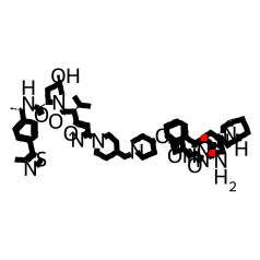 Cc1ncsc1-c1ccc([C@H](C)NC(=O)[C@@H]2C[C@@H](O)CN2C(=O)[C@@H](c2cc(N3CCC(CN4CCC(OC5CC(C(=O)N6CCC(N7C8CC[C@@H]7CN(c7cc(-c9ccccc9O)nnc7N)C8)CC6)C5)CC4)CC3)no2)C(C)C)cc1